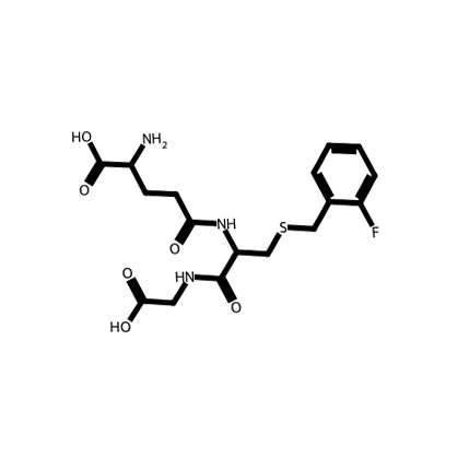 NC(CCC(=O)NC(CSCc1ccccc1F)C(=O)NCC(=O)O)C(=O)O